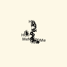 CNc1cc(N2CCc3c(-c4cnc(CN5CCC6(CCNCC6)C(F)(F)C5)cn4)cccc32)nn2c(C(=O)N[C@@H]3CC[C@H]3OC)cnc12.O=C(O)C(F)(F)F